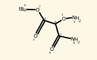 CC(C)(C)OC(=O)C(ON)C(N)=O